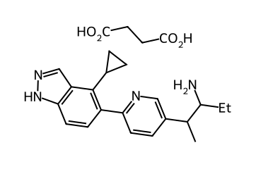 CCC(N)C(C)c1ccc(-c2ccc3[nH]ncc3c2C2CC2)nc1.O=C(O)CCC(=O)O